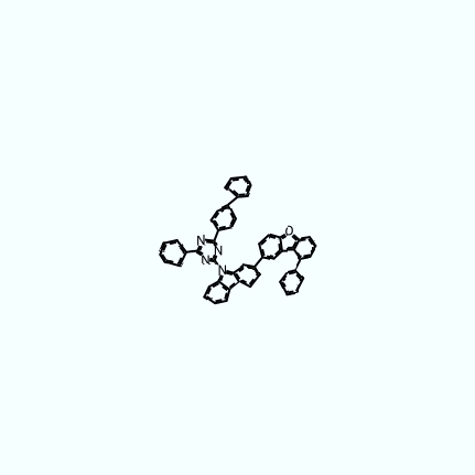 c1ccc(-c2ccc(-c3nc(-c4ccccc4)nc(-n4c5ccccc5c5ccc(-c6ccc7oc8cccc(-c9ccccc9)c8c7c6)cc54)n3)cc2)cc1